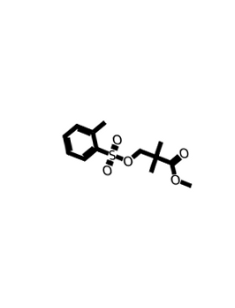 COC(=O)C(C)(C)COS(=O)(=O)c1ccccc1C